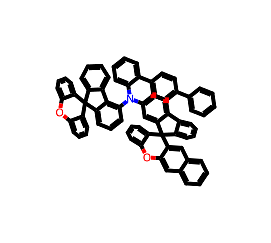 c1ccc(-c2ccc(-c3ccccc3N(c3ccc4c(c3)C3(c5ccccc5Oc5cc6ccccc6cc53)c3ccccc3-4)c3cccc4c3-c3ccccc3C43c4ccccc4Oc4ccccc43)cc2)cc1